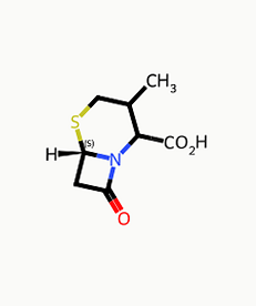 CC1CS[C@H]2CC(=O)N2C1C(=O)O